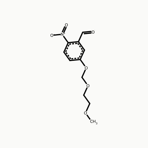 COCCOCOc1ccc([N+](=O)[O-])c(C=O)c1